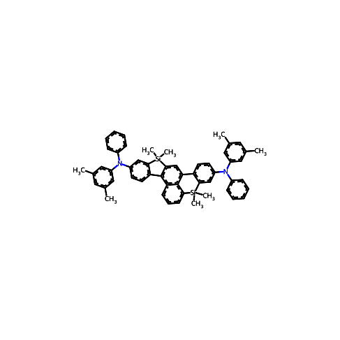 Cc1cc(C)cc(N(c2ccccc2)c2ccc3c(c2)[Si](C)(C)c2cc4c5c(cccc5c2-3)[Si](C)(C)c2cc(N(c3ccccc3)c3cc(C)cc(C)c3)ccc2-4)c1